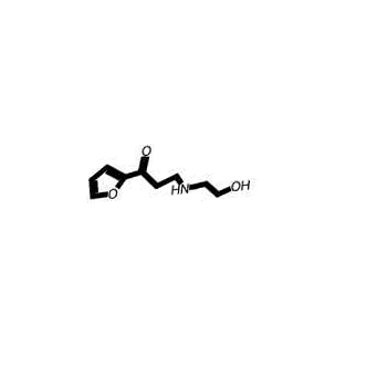 O=C(CCNCCO)c1ccco1